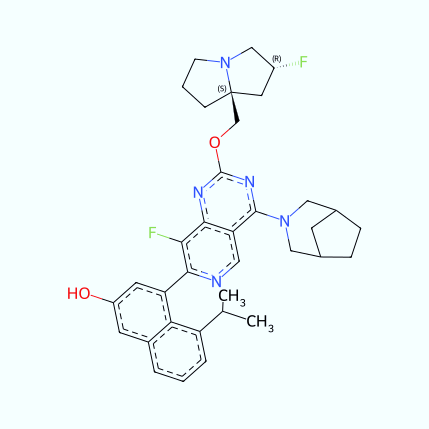 CC(C)c1cccc2cc(O)cc(-c3ncc4c(N5CC6CCC(C6)C5)nc(OC[C@@]56CCCN5C[C@H](F)C6)nc4c3F)c12